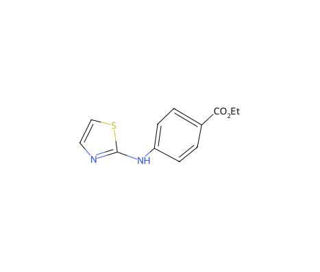 CCOC(=O)c1ccc(Nc2nccs2)cc1